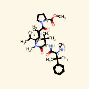 CN[C@H](C(=O)N[C@H](C(=O)N(C)[C@H](/C=C(\C)C(=O)N1CCC[C@H]1C(=O)OC)C(C)C)C(C)(C)C)C(C)(C)c1ccccc1